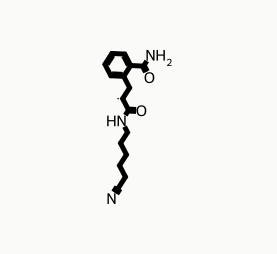 N#CCCCCCNC(=O)[CH]Cc1ccccc1C(N)=O